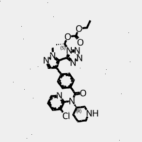 CCOC(=O)O[C@@H](C)n1nnnc1-c1c(-c2ccc(C(=O)N(c3ncccc3Cl)[C@@H]3CCCNC3)cc2)cnn1C